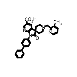 Cc1cccnc1CN1CCC2(CC1)C(=O)N(c1ccc(-c3ccccc3)cc1)c1ncc(C(=O)O)cc12